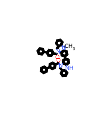 CN1C2=CC=CCC2=CN(C(=O)c2ccc(-c3ccccc3)cc2)c2ccccc21.O=C(c1ccc(-c2ccccc2)cc1)N1Cc2ccccc2Nc2ccccc21